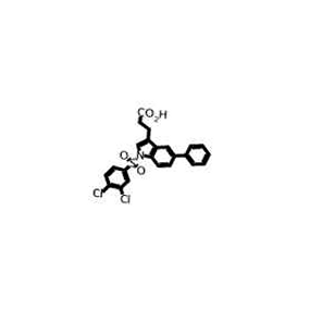 O=C(O)CCc1cn(S(=O)(=O)c2ccc(Cl)c(Cl)c2)c2ccc(-c3ccccc3)cc12